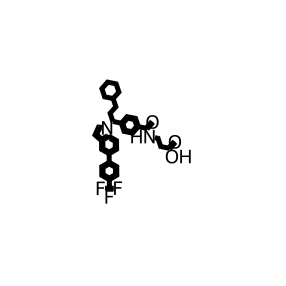 O=C(O)CCNC(=O)c1ccc(C(CCC2CCCCC2)n2ccc3cc(-c4ccc(C(F)(F)F)cc4)ccc32)cc1